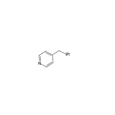 CC(C)Cc1ccncc1